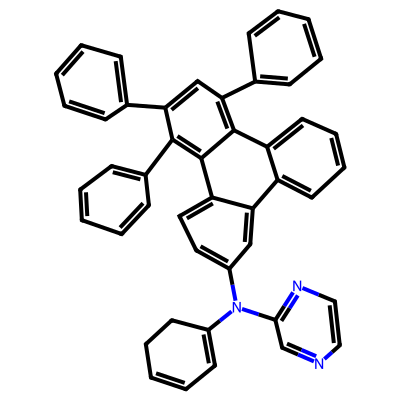 C1=CCCC(N(c2ccc3c(c2)c2ccccc2c2c(-c4ccccc4)cc(-c4ccccc4)c(-c4ccccc4)c32)c2cnccn2)=C1